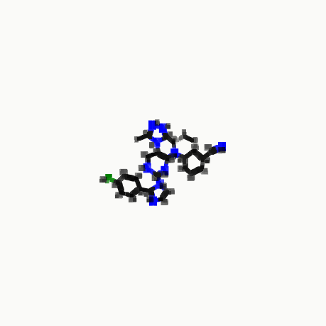 CC[C@H]1c2nnc(C)n2-c2cnc(-n3ccnc3-c3ccc(F)cc3)nc2N1c1cccc(C#N)c1